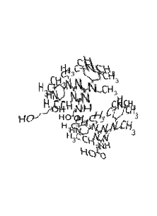 CCN(c1nc(NCC(=O)O)nc(N(CC)C2CC(C)(C)NC(C)(C)C2)n1)C1CC(C)(C)NC(C)(C)C1.CCN(c1nc(NCC(=O)O)nc(N(CC)C2CC(C)(C)NC(C)(C)C2)n1)C1CC(C)(C)NC(C)(C)C1.OCCCCO